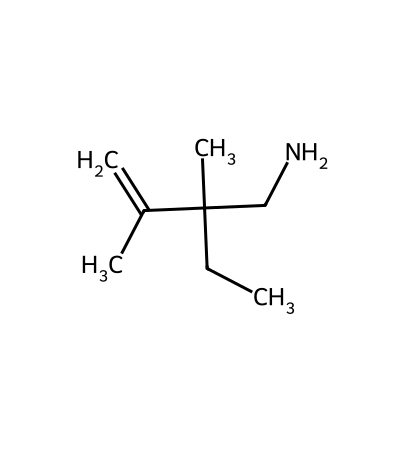 C=C(C)C(C)(CC)CN